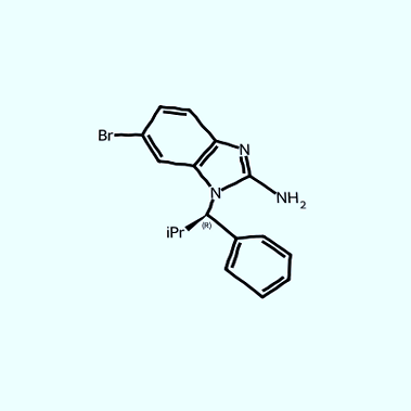 CC(C)[C@H](c1ccccc1)n1c(N)nc2ccc(Br)cc21